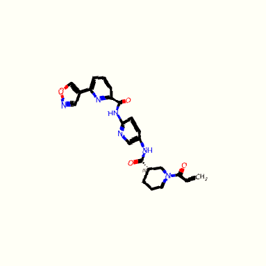 C=CC(=O)N1CCC[C@H](C(=O)Nc2ccc(NC(=O)c3cccc(-c4cnoc4)n3)nc2)C1